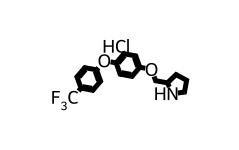 Cl.FC(F)(F)c1ccc(Oc2ccc(OCC3CCCN3)cc2)cc1